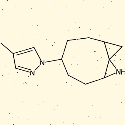 Cc1cnn(C2CCC3CC34NC4CC2)c1